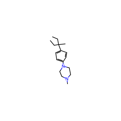 CCC(C)(CC)c1ccc(N2CCN(C)CC2)cc1